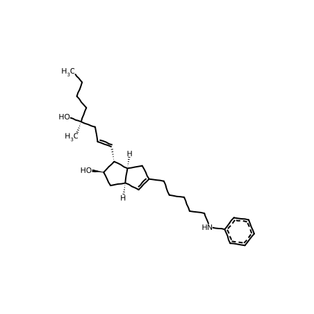 CCCC[C@](C)(O)C/C=C/[C@@H]1[C@H]2CC(CCCCCNc3ccccc3)=C[C@H]2C[C@H]1O